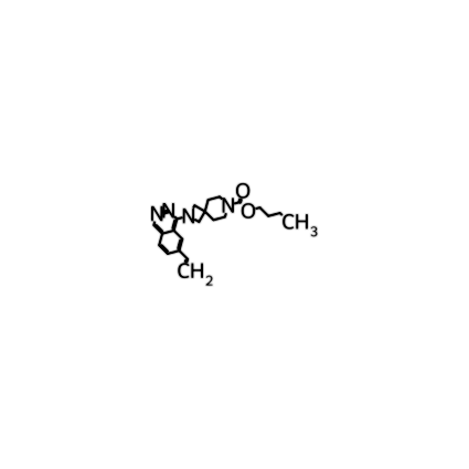 C=Cc1ccc2cnnc(N3CC4(CCN(C(=O)OCCCC)CC4)C3)c2c1